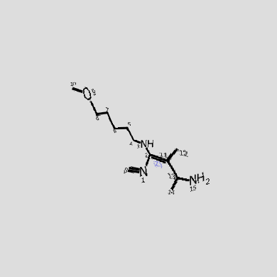 C=N/C(NCCCCCOC)=C(/C)C(C)N